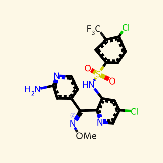 CO/N=C(/c1ccnc(N)c1)c1ncc(Cl)cc1NS(=O)(=O)c1ccc(Cl)c(C(F)(F)F)c1